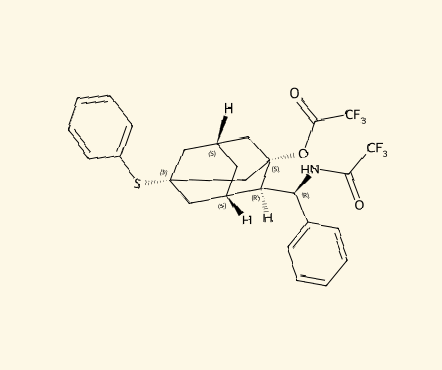 O=C(N[C@@H](c1ccccc1)[C@H]1[C@H]2C[C@@H]3C[C@](Sc4ccccc4)(C2)C[C@@]1(OC(=O)C(F)(F)F)C3)C(F)(F)F